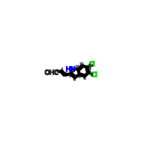 O=C/C=C/c1cc2cc(Cl)c(Cl)cc2[nH]1